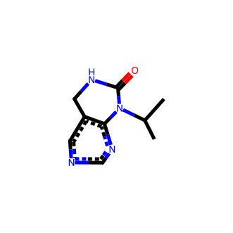 CC(C)N1C(=O)NCc2cncnc21